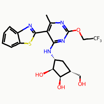 Cc1nc(OCC(F)(F)F)nc(N[C@@H]2C[C@H](CO)[C@@H](O)[C@H]2O)c1-c1nc2ccccc2s1